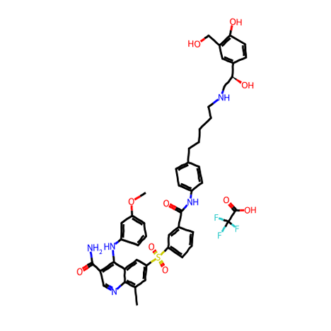 COc1cccc(Nc2c(C(N)=O)cnc3c(C)cc(S(=O)(=O)c4cccc(C(=O)Nc5ccc(CCCCCNC[C@H](O)c6ccc(O)c(CO)c6)cc5)c4)cc23)c1.O=C(O)C(F)(F)F